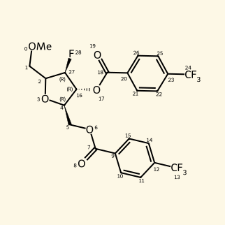 COCC1O[C@H](COC(=O)c2ccc(C(F)(F)F)cc2)[C@@H](OC(=O)c2ccc(C(F)(F)F)cc2)[C@@H]1F